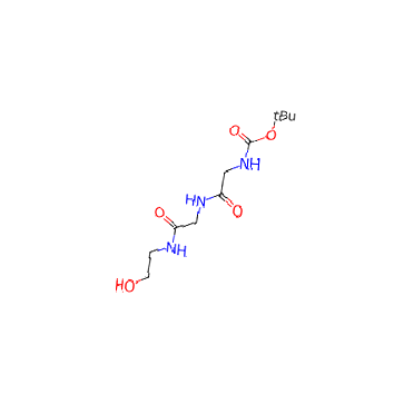 CC(C)(C)OC(=O)NCC(=O)NCC(=O)NCCO